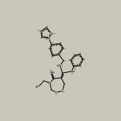 CC(C)CN1COSC/C(=C(/NCc2ccc(-n3cncn3)cc2)Nc2ccccc2)C1=N